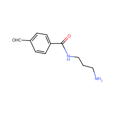 NCCCNC(=O)c1ccc(C=O)cc1